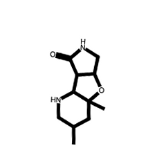 CC1CNC2C3C(=O)NCC3OC2(C)C1